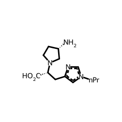 CCCn1cnc(C[C@H](C(=O)O)N2CC[C@H](N)C2)c1